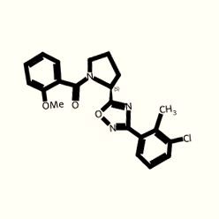 COc1ccccc1C(=O)N1CCC[C@H]1c1nc(-c2cccc(Cl)c2C)no1